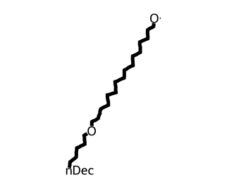 CCCCCCCCCCCCCCCOCCCCCCCCCCCCCCCC[O]